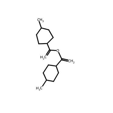 C=C(OC(=C)C1CCC(C)CC1)C1CCC(C)CC1